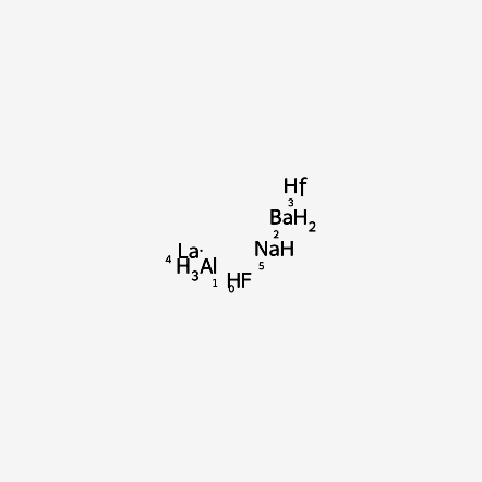 F.[AlH3].[BaH2].[Hf].[La].[NaH]